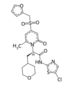 Cc1cc(S(=O)(=O)Cc2ccco2)cc(=O)n1[C@H](CC1CCOCC1)C(=O)Nc1ncc(Cl)s1